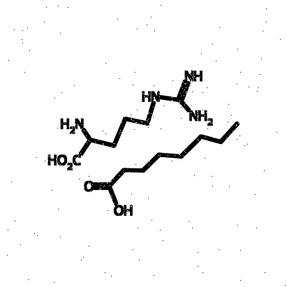 CCCCCCCC(=O)O.N=C(N)NCCCC(N)C(=O)O